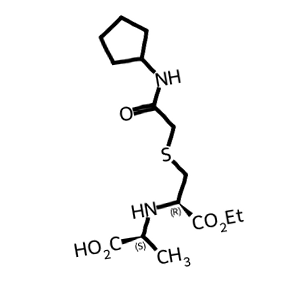 CCOC(=O)[C@H](CSCC(=O)NC1CCCC1)N[C@@H](C)C(=O)O